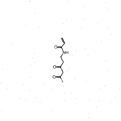 C=CC(=O)NCCC(=O)CC(C)=O